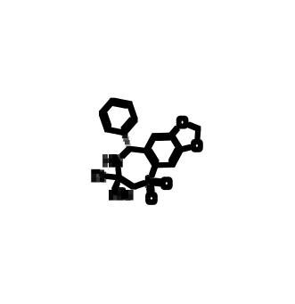 CCCC[C@]1(CC)CS(=O)(=O)c2cc3c(cc2[C@@H](c2ccccc2)N1)OCO3